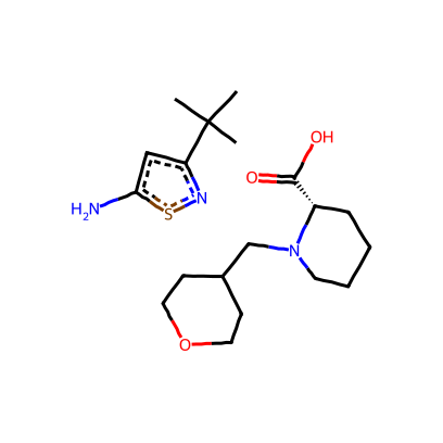 CC(C)(C)c1cc(N)sn1.O=C(O)[C@@H]1CCCCN1CC1CCOCC1